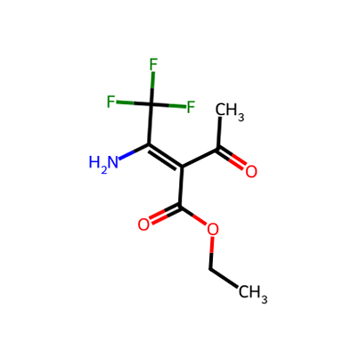 CCOC(=O)C(C(C)=O)=C(N)C(F)(F)F